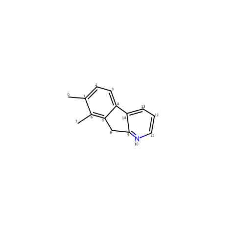 Cc1ccc2c(c1C)Cc1ncccc1-2